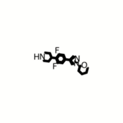 Fc1cc(-c2cnn(C3CCCCO3)c2)cc(F)c1C1CCNCC1